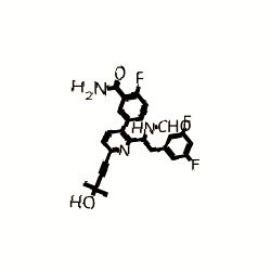 CC(C)(O)C#Cc1ccc(-c2ccc(F)c(C(N)=O)c2)c(C(Cc2cc(F)cc(F)c2)NC=O)n1